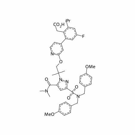 COc1ccc(CN(Cc2ccc(OC)cc2)S(=O)(=O)c2cc(C(=O)N(C)C)n(C(C)(C)COc3cc(-c4cc(F)cc(C(C)C)c4CC(=O)O)ccn3)n2)cc1